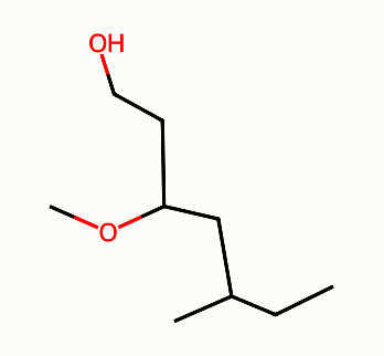 CCC(C)CC(CCO)OC